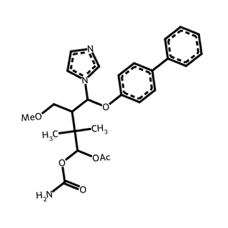 COCC(C(Oc1ccc(-c2ccccc2)cc1)n1ccnc1)C(C)(C)C(OC(C)=O)OC(N)=O